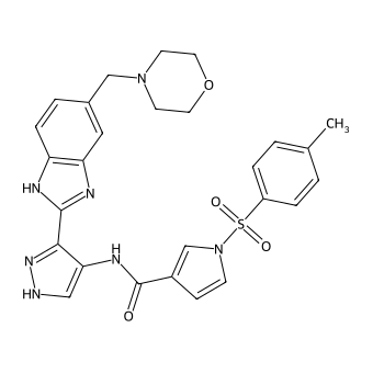 Cc1ccc(S(=O)(=O)n2ccc(C(=O)Nc3c[nH]nc3-c3nc4cc(CN5CCOCC5)ccc4[nH]3)c2)cc1